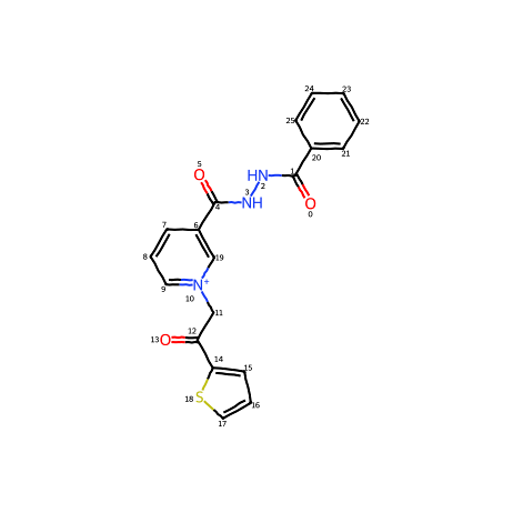 O=C(NNC(=O)c1ccc[n+](CC(=O)c2cccs2)c1)c1ccccc1